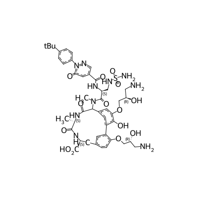 C[C@@H]1NC(=O)C(N(C)C(=O)[C@H](CNS(N)(=O)=O)NC(=O)c2cnn(-c3ccc(C(C)(C)C)cc3)c(=O)c2)c2cc(OC[C@H](O)CN)c(O)c(c2)-c2cc(ccc2OC[C@H](O)CN)C[C@@H](C(=O)O)NC1=O